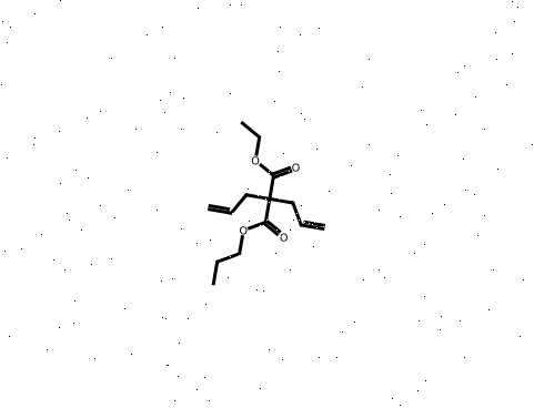 C=CCC(CC=C)(C(=O)OCC)C(=O)OCCC